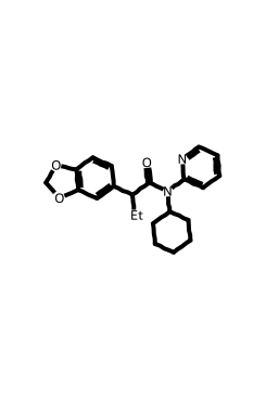 CCC(C(=O)N(c1ccccn1)C1CCCCC1)c1ccc2c(c1)OCO2